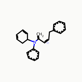 C=C(/C=C\Cc1ccccc1)N(c1ccccc1)C1C=CC=CC1